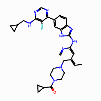 C=N/C(=C\C(=C/C)CN1CCN(C(=O)C2CC2)CC1)Nc1nc2ccc(-c3ncnc(NCC4CC4)c3F)cc2[nH]1